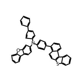 c1ccc(-c2ccc(N(c3ccc(-c4cccc5c4ccc4sc6ccccc6c45)cc3)c3ccc4c(c3)oc3ccccc34)cc2)cc1